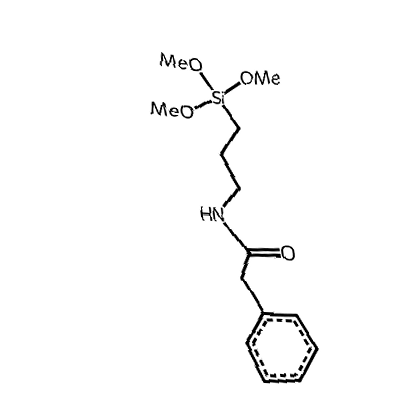 CO[Si](CCCNC(=O)Cc1ccccc1)(OC)OC